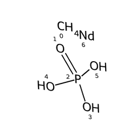 C.O=P(O)(O)O.[Nd]